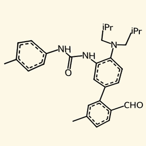 Cc1ccc(NC(=O)Nc2cc(-c3cc(C)ccc3C=O)ccc2N(CC(C)C)CC(C)C)cc1